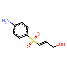 Nc1ccc(S(=O)(=O)C=CCO)cc1